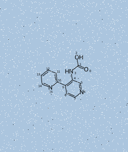 O=C(O)Nc1cnccc1-c1ccccn1